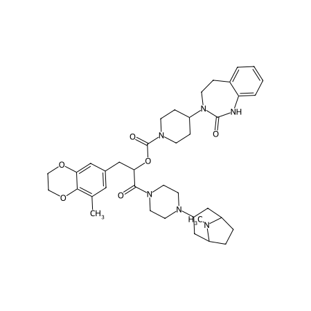 Cc1cc(CC(OC(=O)N2CCC(N3CCc4ccccc4NC3=O)CC2)C(=O)N2CCN(C3CC4CCC(C3)N4C)CC2)cc2c1OCCO2